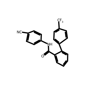 N#Cc1ccc(NC(=O)c2ccccc2-c2ccc(C(F)(F)F)cc2)cc1